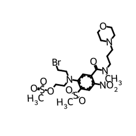 CN(CCCN1CCOCC1)C(=O)c1cc(N(CCBr)CCOS(C)(=O)=O)c(S(C)(=O)=O)cc1[N+](=O)[O-]